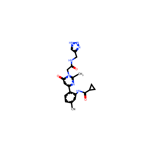 Cc1nc(-c2ccc(C#N)cc2NC(=O)C2CC2)cc(=O)n1CC(=O)NCc1c[nH]nn1